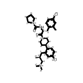 Cc1cc(Cl)ccc1C[C@@H](NC(=O)N1CCCC1)C(=O)N1CCC(c2ccc(Cl)cc2C[C@H](C)CN(C)C)CC1